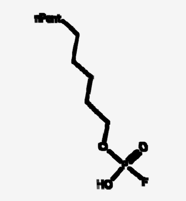 CCCCCCCCCCOP(=O)(O)F